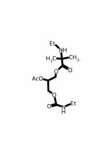 CCNC(=O)OCC(COC(=O)C(C)(C)NCC)OC(C)=O